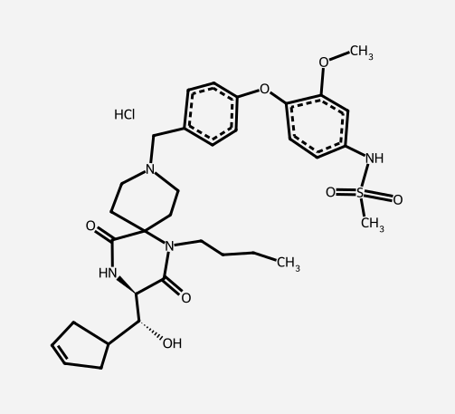 CCCCN1C(=O)[C@@H]([C@H](O)C2CC=CC2)NC(=O)C12CCN(Cc1ccc(Oc3ccc(NS(C)(=O)=O)cc3OC)cc1)CC2.Cl